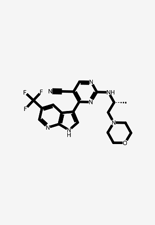 C[C@H](CN1CCOCC1)Nc1ncc(C#N)c(-c2c[nH]c3ncc(C(F)(F)F)cc23)n1